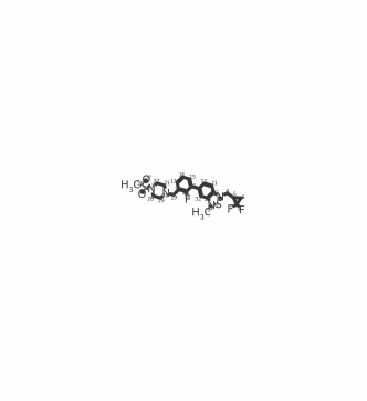 CN1SN(CC2CC2(F)F)c2ccc(-c3cccc(CN4CCN(S(C)(=O)=O)CC4)c3F)cc21